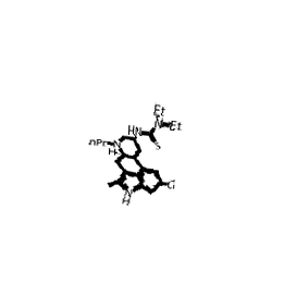 CCCN1C[C@@H](NC(=S)N(CC)CC)CC2c3cc(Cl)cc4[nH]c(C)c(c34)C[C@H]21